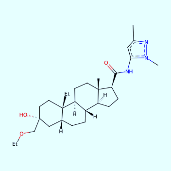 CCOC[C@@]1(O)CC[C@@]2(CC)[C@H](CC[C@H]3[C@@H]4CC[C@H](C(=O)Nc5cc(C)nn5C)[C@@]4(C)CC[C@@H]32)C1